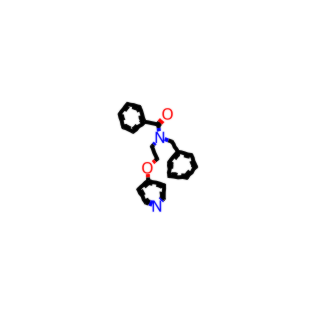 O=C(c1ccccc1)N(CCOc1ccncc1)Cc1ccccc1